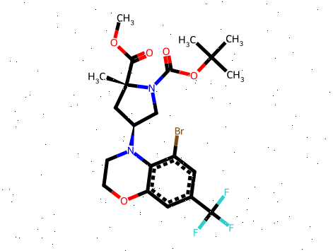 COC(=O)[C@@]1(C)C[C@H](N2CCOc3cc(C(F)(F)F)cc(Br)c32)CN1C(=O)OC(C)(C)C